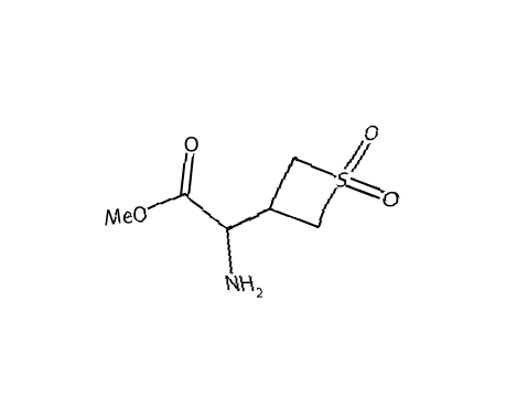 COC(=O)C(N)C1CS(=O)(=O)C1